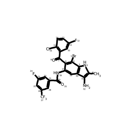 Cc1[nH]c2c(Br)c(C(=O)c3cc(F)ccc3Cl)c(NC(=O)c3cc(F)cc(C(F)(F)F)c3)cc2c1N